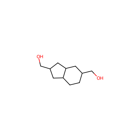 OCC1CCC2CC(CO)CC2C1